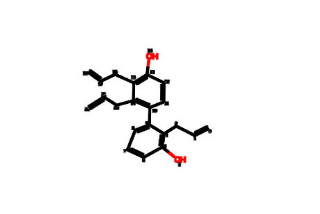 C=CCc1c(O)cccc1-c1ccc(O)c(CC=C)c1CC=C